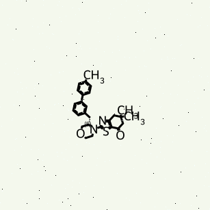 Cc1ccc(-c2cccc(C[C@H]3COCCN3c3nc4c(s3)C(=O)CC(C)(C)C4)c2)cc1